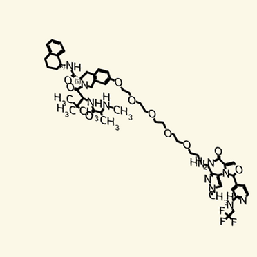 CNC(C)C(=O)NC(C(=O)N1Cc2cc(OCCOCCOCCOCCOCCNCc3nn(C)cc3N3C(C(N)=O)=COC3c3ccnc(NCC(F)(F)F)c3)ccc2C[C@H]1C(=O)N[C@@H]1CCCc2ccccc21)C(C)(C)C